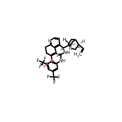 C=C[C@H]1CN2CCC1C[C@H]2[C@@H](NC(=S)Nc1cc(C(F)(F)F)cc(C(F)(F)F)c1)c1ccnc2c1C=C(OC)CC2